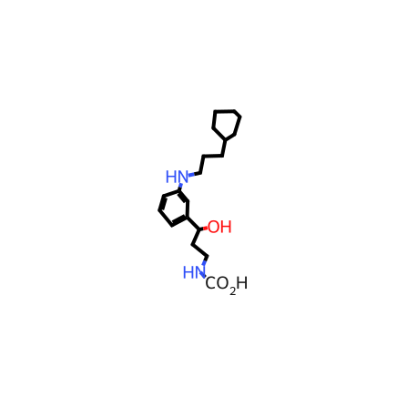 O=C(O)NCCC(O)c1cccc(NCCCC2CCCCC2)c1